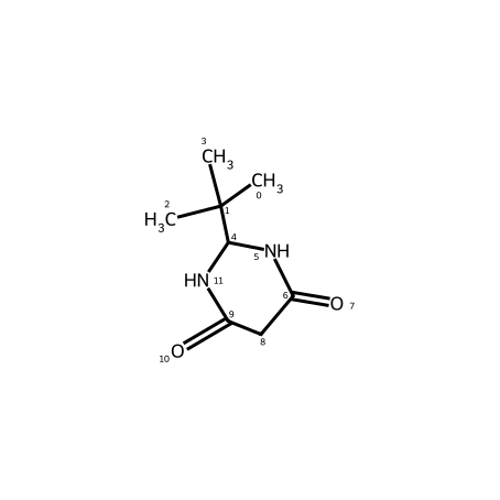 CC(C)(C)C1NC(=O)CC(=O)N1